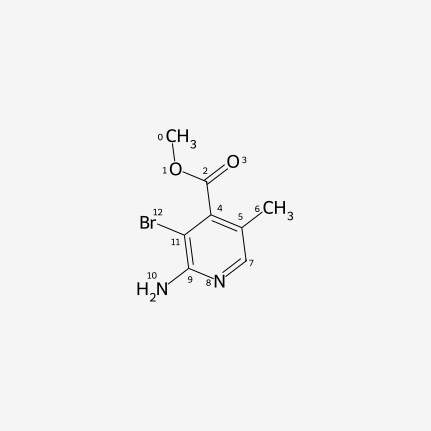 COC(=O)c1c(C)cnc(N)c1Br